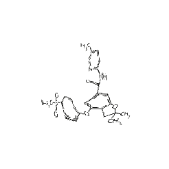 Cc1ccc(NC(=O)c2cc(Oc3ccc(S(C)(=O)=O)cc3)c3c(c2)OC(C)(C)C3)nc1